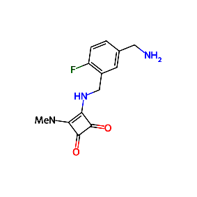 CNc1c(NCc2cc(CN)ccc2F)c(=O)c1=O